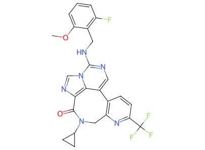 COc1cccc(F)c1CNc1ncc2c3c(ncn13)C(=O)N(C1CC1)Cc1nc(C(F)(F)F)ccc1-2